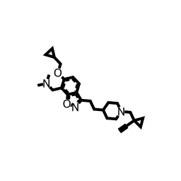 C#CC1(CN2CCC(CCc3noc4c(CN(C)C)c(OCC5CC5)ccc34)CC2)CC1